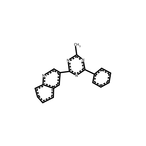 Cc1nc(-c2ccccc2)nc(-c2cnc3ccccc3c2)n1